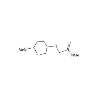 CNC(=O)COC1CCC(NC)CC1